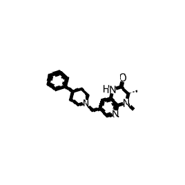 C[C@H]1C(=O)Nc2cc(CN3CCC(c4ccccc4)CC3)cnc2N1C